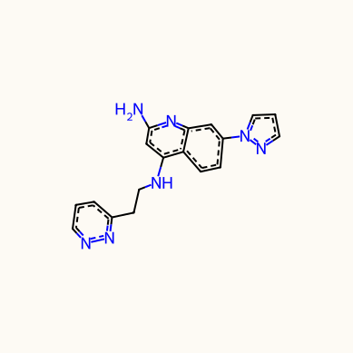 Nc1cc(NCCc2cccnn2)c2ccc(-n3cccn3)cc2n1